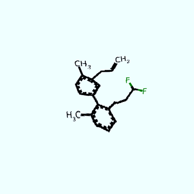 C=CCc1cc(-c2c(C)cccc2CCC(F)F)ccc1C